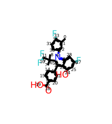 Cc1cc(-n2c(C(C)(C)C(F)F)c(-c3ccc(C(=O)O)cc3)c3c(O)cc(F)cc32)ccc1F